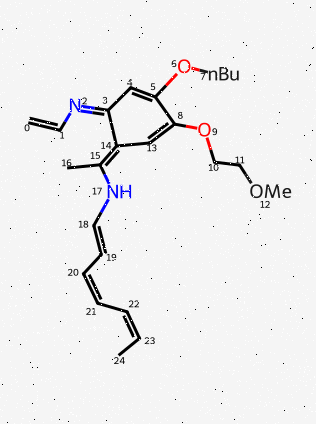 C=C/N=C1/C=C(OCCCC)C(OCCOC)=C/C1=C(/C)N/C=C/C=C\C=C/C